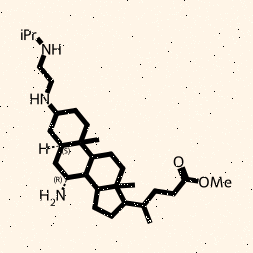 COC(=O)CCC(C)C1CCC2C3C(CCC12C)C1(C)CCC(NCCNC(C)C)C[C@@H]1C[C@H]3N